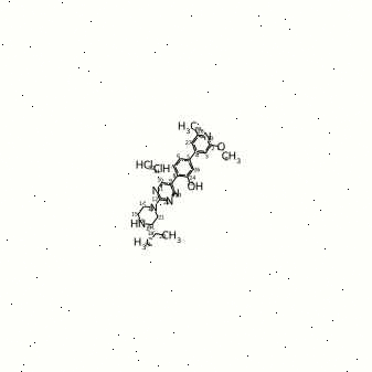 COc1cc(-c2ccc(-c3cnc(N4CCN[C@@H](C(C)C)C4)nn3)c(O)c2)cc(C)n1.Cl.Cl